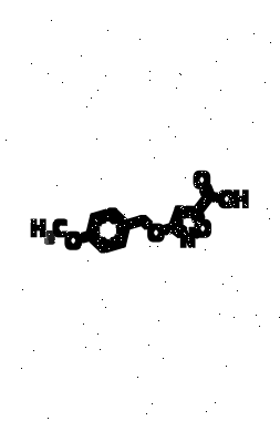 COc1ccc(COc2cc(C(=O)O)on2)cc1